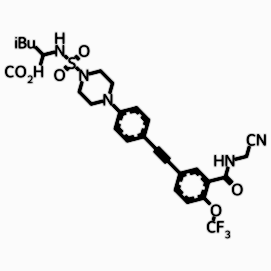 CCC(C)C(NS(=O)(=O)N1CCN(c2ccc(C#Cc3ccc(OC(F)(F)F)c(C(=O)NCC#N)c3)cc2)CC1)C(=O)O